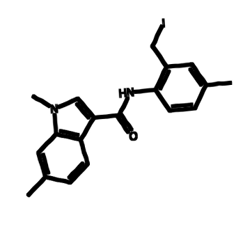 Cc1ccc(NC(=O)c2cn(C)c3cc(C)ccc23)c(CI)c1